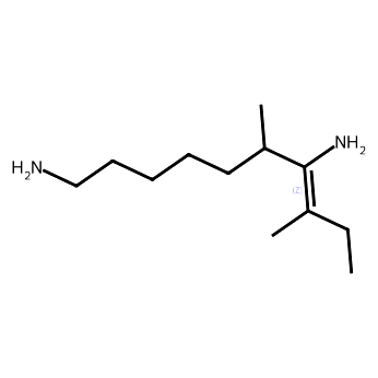 CC/C(C)=C(\N)C(C)CCCCCN